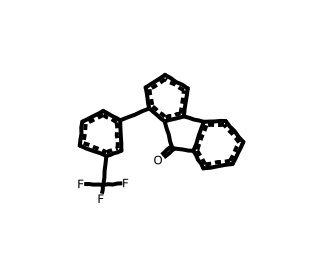 O=C1c2ccccc2-c2cccc(-c3cccc(C(F)(F)F)c3)c21